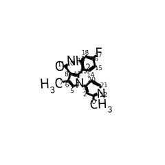 Cc1cc(-n2cc(C)c(C(N)=O)c2-c2ccc(F)cc2)ccn1